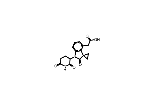 O=C(O)Cc1cccc2c1C1(CC1)C(=O)N2C1CCC(=O)NC1=O